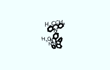 CN1c2cc(N3c4ccccc4C(C)(C)c4ccccc43)ccc2C2(c3ccccc3-c3ccccc32)n2c1nc1ccccc12